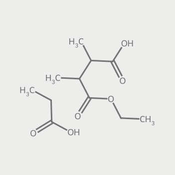 CCC(=O)O.CCOC(=O)C(C)C(C)C(=O)O